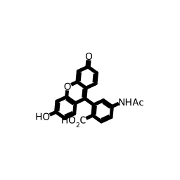 CC(=O)Nc1ccc(C(=O)O)c(-c2c3ccc(=O)cc-3oc3cc(O)ccc23)c1